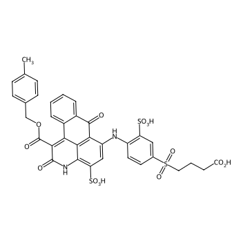 Cc1ccc(COC(=O)c2c3c4c(c(Nc5ccc(S(=O)(=O)CCCC(=O)O)cc5S(=O)(=O)O)cc(S(=O)(=O)O)c4[nH]c2=O)C(=O)c2ccccc2-3)cc1